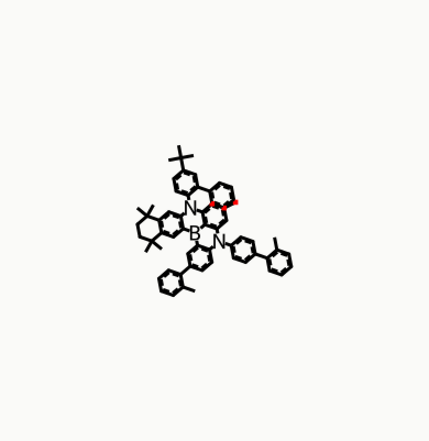 Cc1cc2c3c(c1)N(c1ccc(C(C)(C)C)cc1-c1ccccc1)c1cc4c(cc1B3c1cc(-c3ccccc3C)ccc1N2c1ccc(-c2ccccc2C)cc1)C(C)(C)CCC4(C)C